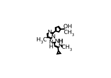 CN/C(=C\C(=N)Nc1nc(C2=CC=C([C@@H](C)O)C2)ncc1C)C1CC1